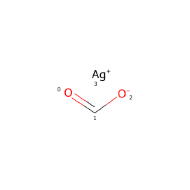 O=C[O-].[Ag+]